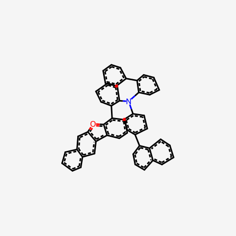 c1ccc(-c2ccccc2N(c2ccc(-c3cccc4ccccc34)cc2)c2ccccc2-c2cccc3c2oc2cc4ccccc4cc23)cc1